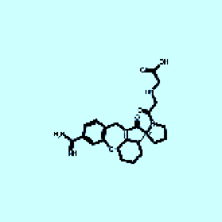 N=C(N)c1ccc(CNC(=O)[C@]2(C3CCCCC3)CCCN2C(=O)CNCC(=O)O)c(O)c1